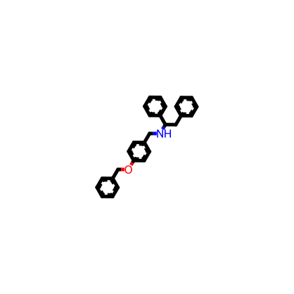 c1ccc(COc2ccc(CNC(Cc3ccccc3)c3ccccc3)cc2)cc1